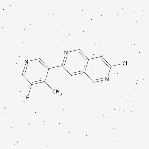 Cc1c(F)cncc1-c1cc2cnc(Cl)cc2cn1